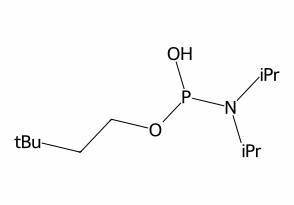 CC(C)N(C(C)C)P(O)OCCC(C)(C)C